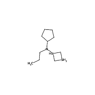 CCCN(C1CCCC1)[SiH]1C[SiH2]C1